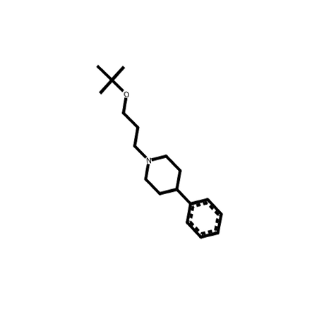 CC(C)(C)OCCCN1CCC(c2ccccc2)CC1